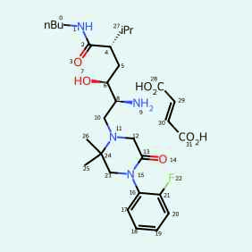 CCCCNC(=O)[C@@H](C[C@H](O)[C@@H](N)CN1CC(=O)N(c2ccccc2F)CC1(C)C)C(C)C.O=C(O)/C=C/C(=O)O